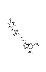 Cc1nc(N)c2ncn(CCCCOC(=O)NCc3ccc(Cl)cc3)c2n1